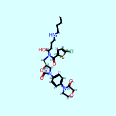 CCCCNCCCC(O)N(C[C@H]1CN(c2ccc(N3CCOCC3=O)cc2)C(=O)O1)C(=O)c1ccc(Cl)s1